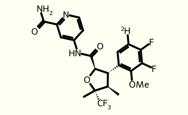 [2H]c1cc([C@@H]2[C@@H](C)[C@](C)(C(F)(F)F)O[C@H]2C(=O)Nc2ccnc(C(N)=O)c2)c(OC)c(F)c1F